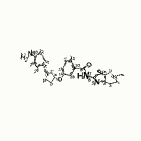 CN1CCc2nc(NC(=O)c3cccc(O[C@@H]4CCN(c5ccc(N)cc5)C4)c3)sc2C1